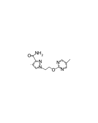 Cc1cnc(OCCn2c[c]c(C(N)=O)n2)nc1